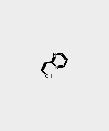 O/C=C\c1ncccn1